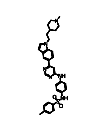 Cc1ccc(S(=O)(=O)Nc2ccc(Nc3cc(-c4ccc5c(ccn5CCC5CCN(C)CC5)c4)ncn3)cc2)cc1